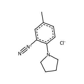 Cc1ccc(N2CCCC2)c([N+]#N)c1.[Cl-]